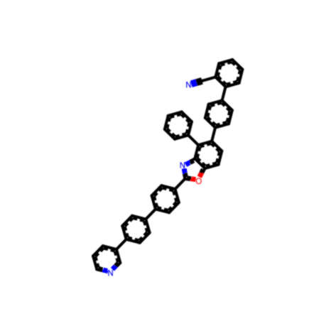 N#Cc1ccccc1-c1ccc(-c2ccc3oc(-c4ccc(-c5ccc(-c6cccnc6)cc5)cc4)nc3c2-c2ccccc2)cc1